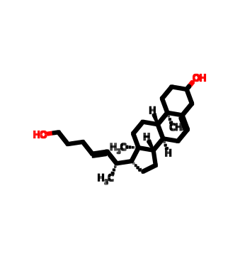 C[C@H](/C=C/CCCO)[C@H]1CC[C@H]2[C@@H]3CC=C4CC(O)CC[C@]4(C)[C@H]3CC[C@]12C